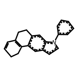 C1=CC2=C(CC1)c1cc3ccn(-c4ccccc4)c3cc1CC2